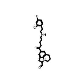 O=CC1Cc2cc(C(=O)CCCCNCCc3ccc(F)cc3Cl)cc3c2N1CCC3